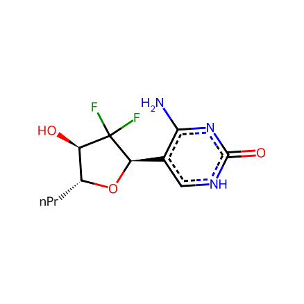 C[CH]C[C@H]1O[C@H](c2c[nH]c(=O)nc2N)C(F)(F)[C@@H]1O